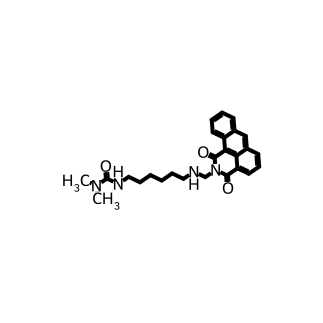 CN(C)C(=O)NCCCCCCNCN1C(=O)c2cccc3cc4ccccc4c(c23)C1=O